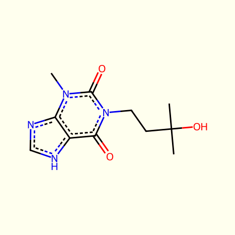 Cn1c(=O)n(CCC(C)(C)O)c(=O)c2[nH]cnc21